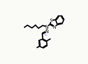 CCCCCCN(/N=C/c1cc(C)ccc1C)c1nc2ccccc2s1